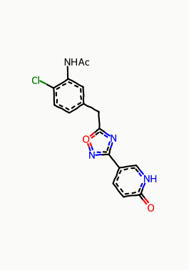 CC(=O)Nc1cc(Cc2nc(-c3ccc(=O)[nH]c3)no2)ccc1Cl